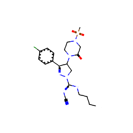 CCCCN/C(=N\C#N)N1CC(N2CCN(S(C)(=O)=O)CC2=O)C(c2ccc(Cl)cc2)=N1